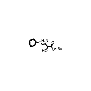 CC(C)(C)OC(=O)C(O)[C@@H](N)CCc1ccccc1